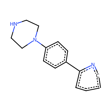 c1ccc(-c2ccc(N3CCNCC3)cc2)nc1